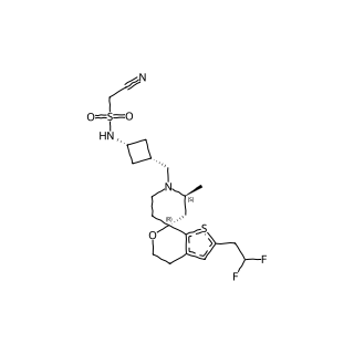 C[C@H]1C[C@@]2(CCN1C[C@H]1C[C@@H](NS(=O)(=O)CC#N)C1)OCCc1cc(CC(F)F)sc12